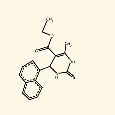 CCOC(=O)C1=C(C)NC(=S)NC1c1cccc2ccccc12